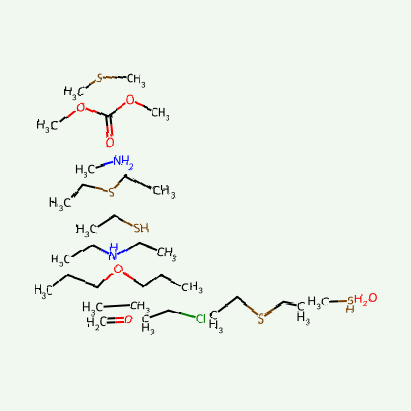 C=O.CC.CCCOCCC.CCCl.CCNCC.CCS.CCSCC.CCSCC.CN.COC(=O)OC.CS.CSC.O